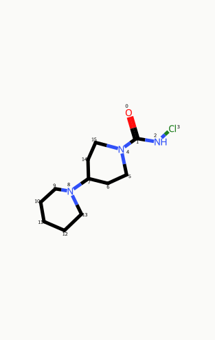 O=C(NCl)N1CCC(N2CCCCC2)CC1